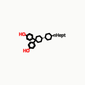 CCCCCCC[C@H]1CC[C@H](C2CCC(c3ccc(O)cc3)(c3ccc(O)cc3)CC2)CC1